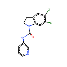 O=C(Nc1cccnc1)N1CCc2cc(Cl)c(Cl)cc21